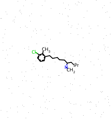 C=NC(CCCCCc1cccc(Cl)c1C)CC(C)C